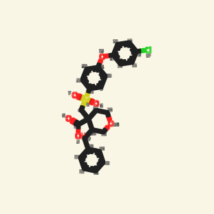 O=C(O)C1(CS(=O)(=O)c2ccc(Oc3ccc(Cl)cc3)cc2)CCOCC1Cc1ccccc1